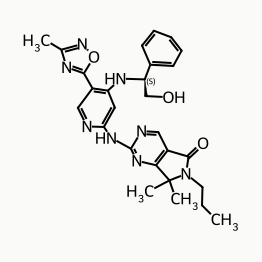 CCCN1C(=O)c2cnc(Nc3cc(N[C@H](CO)c4ccccc4)c(-c4nc(C)no4)cn3)nc2C1(C)C